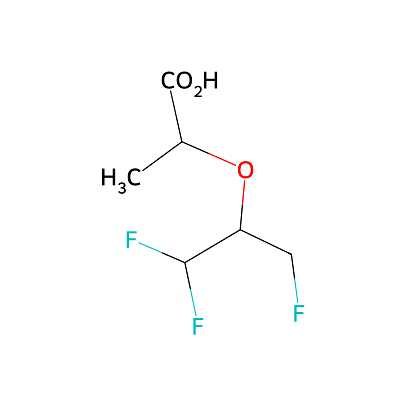 CC(OC(CF)C(F)F)C(=O)O